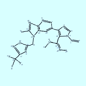 C=Nn1ccc(-c2cnc3nc(C)n(Cc4nc(C(F)(F)F)no4)c3c2)c1/C(=N\C)OC